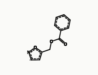 O=C(OCc1c[c]no1)c1ccccc1